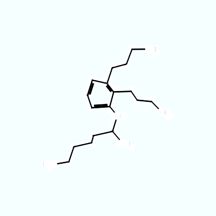 CCCCCC(C)Pc1cccc(CCCC)c1CCCC